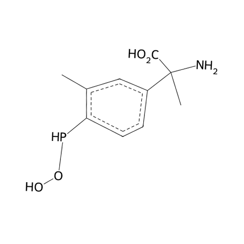 Cc1cc(C(C)(N)C(=O)O)ccc1POO